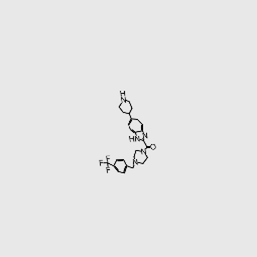 O=C(c1nc2c([nH]1)=CC=C(C1CCNCC1)CC=2)N1CCN(Cc2ccc(C(F)(F)F)cc2)CC1